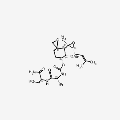 CO[C@@H]1[C@H](OC(=O)N[C@@H](C(=O)N[C@@H](CO)C(N)=O)C(C)C)CC[C@]2(CO2)[C@H]1[C@@]1(C)O[C@@H]1CC=C(C)C